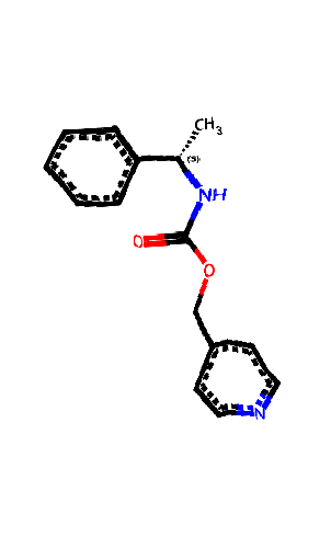 C[C@H](NC(=O)OCc1ccncc1)c1ccccc1